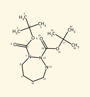 CC(C)(C)OC(=O)N1CCCC[N]N1C(=O)OC(C)(C)C